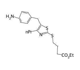 CCCc1nc(SCCCC(=O)OCC)sc1Cc1ccc(N)cc1